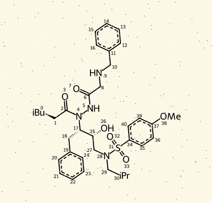 CC[C@H](C)CC(=O)N(NC(=O)CNCc1ccccc1)[C@@H](Cc1ccccc1)[C@H](O)CN(CC(C)C)S(=O)(=O)c1ccc(OC)cc1